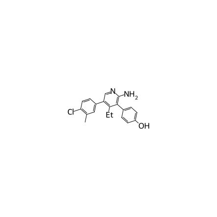 CCc1c(-c2ccc(Cl)c(C)c2)cnc(N)c1-c1ccc(O)cc1